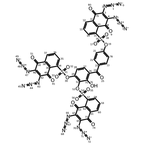 [N-]=[N+]=NC1=C(N=[N+]=[N-])C(=O)c2c(cccc2S(=O)(=O)Oc2ccc(C(=O)c3ccc(OS(=O)(=O)c4cccc5c4C(=O)C(N=[N+]=[N-])=C(N=[N+]=[N-])C5=O)c(OS(=O)(=O)c4cccc5c4C(=O)C(N=[N+]=[N-])=C(N=[N+]=[N-])C5=O)c3O)cc2)C1=O